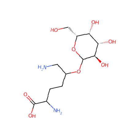 NCC(CCC(N)C(=O)O)OC1O[C@H](CO)[C@H](O)[C@H](O)[C@H]1O